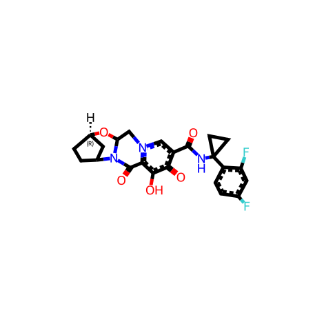 O=C(NC1(c2ccc(F)cc2F)CC1)c1cn2c(c(O)c1=O)C(=O)N1C3CC[C@H](C3)OC1C2